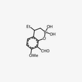 CCC1C[B-](O)(O)Oc2c1ccc(OC)c2C=O